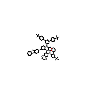 Cc1cc2c3c(c1)N(c1ccc(C(C)(C)C)cc1-c1ccccc1)c1cc4c(cc1B3c1cc(-c3ccc5c(c3)sc3ccccc35)ccc1N2c1cc(-c2ccc(C(C)(C)C)cc2)cc(-c2ccc(C(C)(C)C)cc2)c1)OCCO4